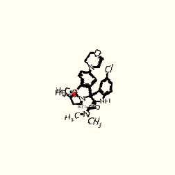 COc1ccc(N2CCOCC2)cc1C1(N2C[C@H](O)C[C@H]2C(=O)N(C)C)C(=O)Nc2ccc(Cl)cc21